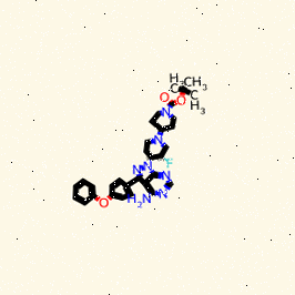 CC(C)(C)OC(=O)N1CCC(N2CC[C@@H](n3nc(-c4ccc(Oc5ccccc5)cc4)c4c(N)ncnc43)[C@@H](F)C2)CC1